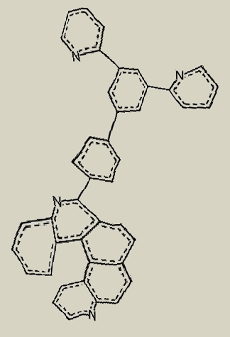 c1ccc(-c2cc(-c3ccc(-c4nc5ccccc5c5c4ccc4ccc6ncccc6c45)cc3)cc(-c3ccccn3)c2)nc1